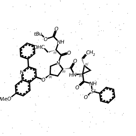 C=C[C@@H]1C[C@]1(NC(=O)[C@@H]1C[C@@H](Oc2cc(-c3ccccc3)nc3cc(OC)ccc23)CN1C(=O)[C@H](CC=O)NC(=O)OC(C)(C)C)C(=O)N[S+]([O-])c1ccccc1